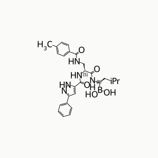 Cc1ccc(C(=O)NC[C@H](NC(=O)c2cc(-c3ccccc3)n[nH]2)C(=O)N[C@@H](CC(C)C)B(O)O)cc1